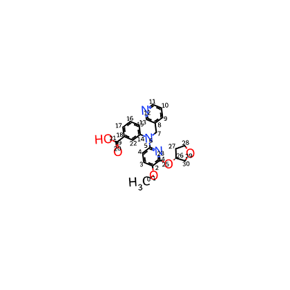 COc1ccc(N(Cc2cccnc2)c2cccc(C(=O)O)c2)nc1O[C@@H]1CCOC1